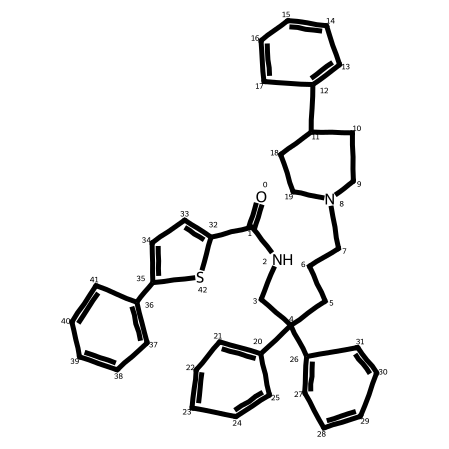 O=C(NCC(CCCN1CCC(c2ccccc2)CC1)(c1ccccc1)c1ccccc1)c1ccc(-c2ccccc2)s1